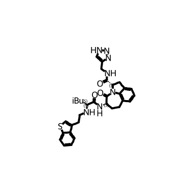 CC[C@H](C)[C@H](NCCc1csc2ccccc12)C(=O)N[C@H]1CCc2cccc3c2N(C1=O)[C@H](C(=O)NCc1c[nH]nn1)C3